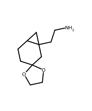 NCCC12CC1CCC1(C2)OCCO1